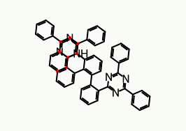 c1ccc(C2=NC(c3ccccc3-c3c(-c4ccccc4-c4nc(-c5ccccc5)nc(-c5ccccc5)n4)cccc3-c3cccc4ccccc34)NC(c3ccccc3)=N2)cc1